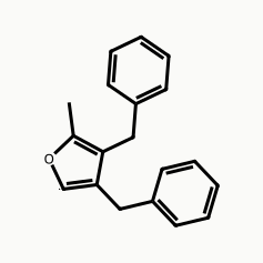 Cc1o[c]c(Cc2ccccc2)c1Cc1ccccc1